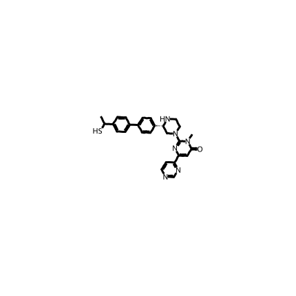 CC(S)c1ccc(-c2ccc([C@H]3CN(c4nc(-c5ccncn5)cc(=O)n4C)CCN3)cc2)cc1